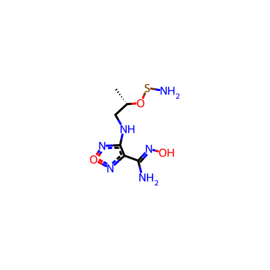 C[C@@H](CNc1nonc1/C(N)=N/O)OSN